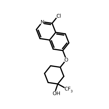 OC1(C(F)(F)F)CCCC(Oc2ccc3c(Cl)nccc3c2)C1